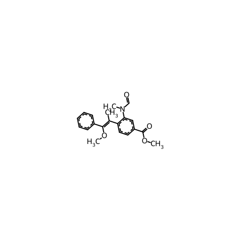 COC(=O)c1ccc(/C(C)=C(\OC)c2ccccc2)c(N(C)C=O)c1